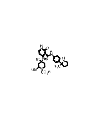 CCC1(n2nc(Nc3ccc(C4(C(F)(F)F)CCCN4)cc3)c3c(=O)[nH]ccc32)CCN(C(=O)O)C(C(C)(C)C)C1